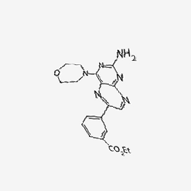 CCOC(=O)c1cccc(-c2cnc3nc(N)nc(N4CCOCC4)c3n2)c1